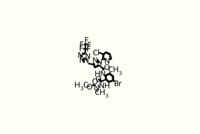 COC(=O)N(C)NC(=O)c1cc(Br)cc(C)c1NC(=O)c1cc(Cn2nnc(C(F)(F)C(F)(F)F)n2)nn1-c1ncccc1Cl